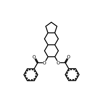 O=C(OC1CC2CC3CCCC3CC2CC1OC(=O)c1ccccc1)c1ccccc1